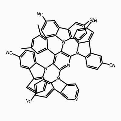 Cc1cc(C)cc(-c2c(-n3c4ccc(C#N)cc4c4cc(C#N)ccc43)c(-n3c4ccccc4c4cnccc43)nc(-n3c4ccc(C#N)cc4c4cc(C#N)ccc43)c2-n2c3ccc(C#N)cc3c3cc(C#N)ccc32)c1